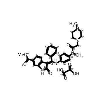 COC(=O)c1ccc2c(c1)NC(=O)/C2=C(\Nc1ccc(N(C)C(=O)CN2CCN(C)CC2)cc1)c1ccccc1.O=C(O)C(=O)O